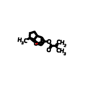 C=C(C)C(=O)OC1C2CC3C1OC1(C)CCC2C31